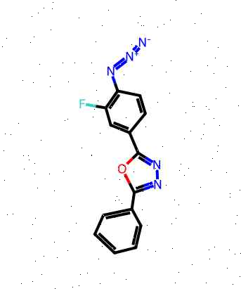 [N-]=[N+]=Nc1ccc(-c2nnc(-c3ccccc3)o2)cc1F